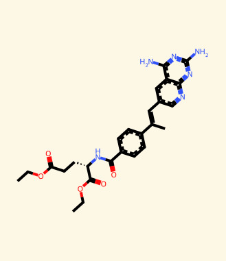 CCOC(=O)CC[C@H](NC(=O)c1ccc(/C(C)=C/c2cnc3nc(N)nc(N)c3c2)cc1)C(=O)OCC